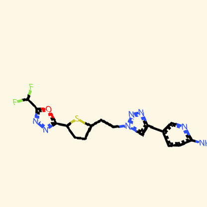 Nc1ccc(-c2cn(CCC3CCC(c4nnc(C(F)F)o4)S3)nn2)cn1